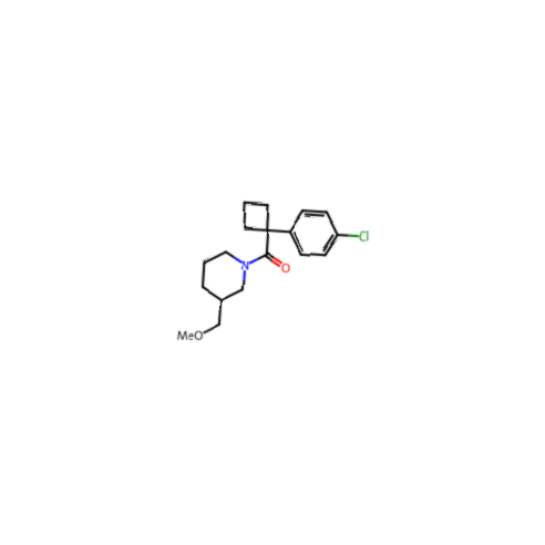 COCC1CCCN(C(=O)C2(c3ccc(Cl)cc3)CCC2)C1